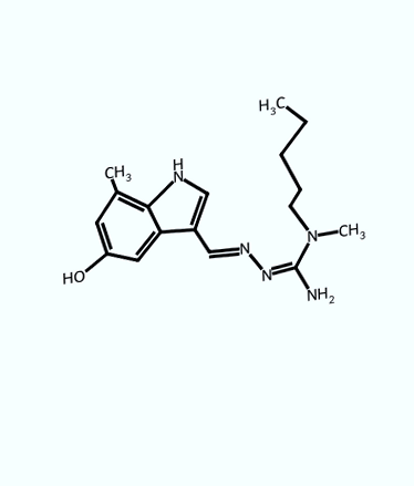 CCCCCN(C)C(N)=NN=Cc1c[nH]c2c(C)cc(O)cc12